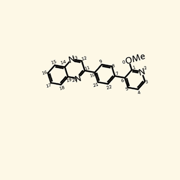 COc1ncccc1-c1ccc(-c2cnc3ccccc3n2)cc1